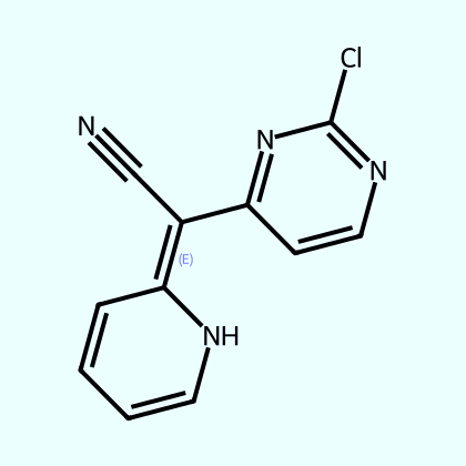 N#C/C(=C1\C=CC=CN1)c1ccnc(Cl)n1